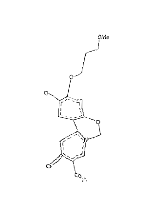 COCCCOc1cc2c(cc1Cl)-c1cc(=O)c(C(=O)O)cn1CO2